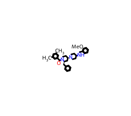 COc1ccccc1CNC1CCN([C@H]2CCN(C(=O)c3cc(C)cc(C)c3)[C@H](Cc3ccccc3)C2)CC1